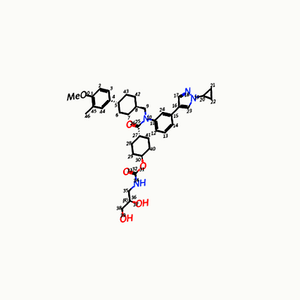 COc1ccc([C@H]2CC[C@H](CN(c3cccc(-c4cnn(C5CC5)c4)c3)C(=O)[C@H]3CC[C@H](OC(=O)NC[C@@H](O)CO)CC3)CC2)cc1C